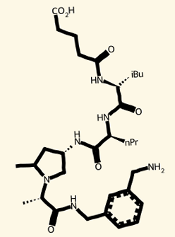 CCC[C@H](NC(=O)[C@@H](NC(=O)CCCC(=O)O)[C@@H](C)CC)C(=O)N[C@H]1CC(C)N([C@@H](C)C(=O)NCc2cccc(CN)c2)C1